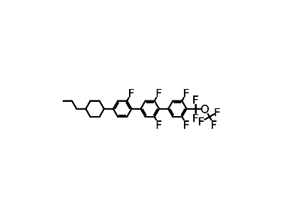 CCCC1CCC(c2ccc(-c3cc(F)c(-c4cc(F)c(C(F)(F)OC(F)(F)F)c(F)c4)c(F)c3)c(F)c2)CC1